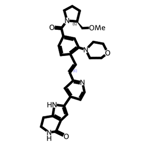 COC[C@@H]1CCCN1C(=O)c1ccc(/C=C/c2cc(-c3cc4c([nH]3)CCNC4=O)ccn2)c(N2CCOCC2)c1